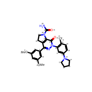 COc1cc(OC)cc(-c2nn(-c3cc(N4CCCC4)ccc3C(F)(F)F)c(=O)c3c2CCN3C(N)=O)c1